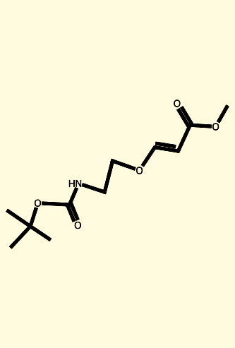 COC(=O)C=COCCNC(=O)OC(C)(C)C